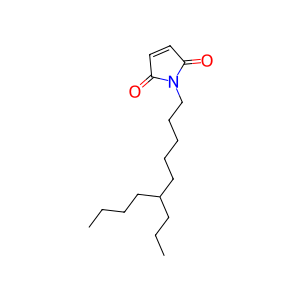 CCCCC(CCC)CCCCCN1C(=O)C=CC1=O